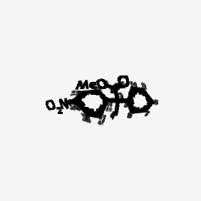 COC(=O)C(C)(c1ccccc1)c1ccc([N+](=O)[O-])cc1